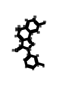 Cc1cccc(-n2nc3c4cc(C)ncc4[nH]cc-3c2=O)c1